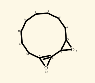 C1CCCCC2OC2C2=C(CCC1)O2